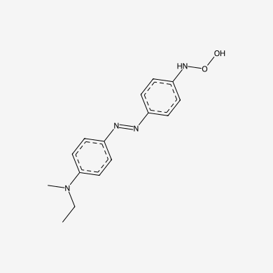 CCN(C)c1ccc(N=Nc2ccc(NOO)cc2)cc1